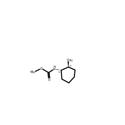 CC(=O)O[C@H]1CCCC[C@@H]1NC(=O)OC(C)(C)C